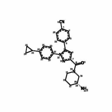 N#Cc1ccc(-c2cc(C(=O)N3CCC[C@@H](N)C3)nn2-c2ccc(C3CC3)cc2)cc1